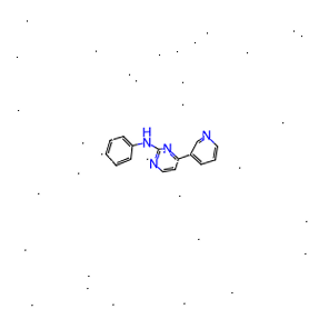 [c]1ccc(Nc2nccc(-c3cccnc3)n2)cc1